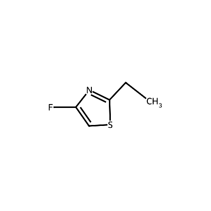 CCc1nc(F)cs1